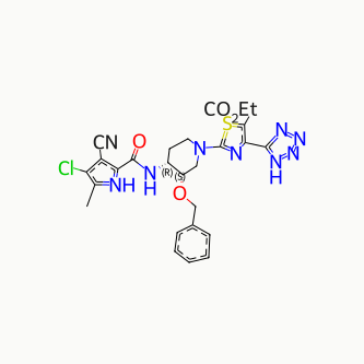 CCOC(=O)c1sc(N2CC[C@@H](NC(=O)c3[nH]c(C)c(Cl)c3C#N)[C@@H](OCc3ccccc3)C2)nc1-c1nnn[nH]1